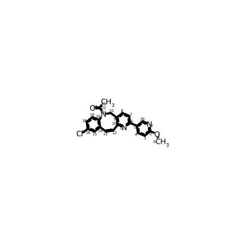 COc1ccc(-c2ccc3c(n2)C=Cc2cc(Cl)ccc2N(C(C)=O)C3)cn1